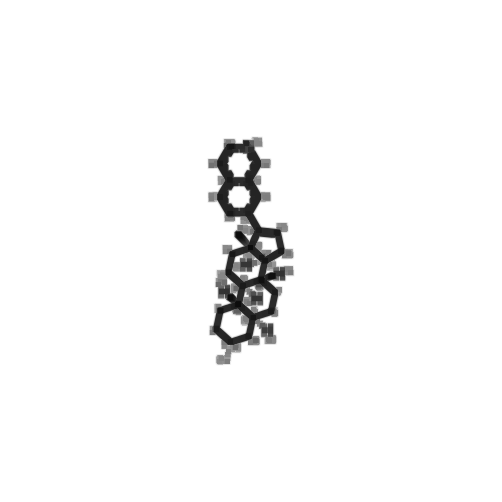 C[C@@H]1CC[C@H]2[C@@H](CC[C@@H]3[C@@H]2CC[C@]2(C)C(c4ccc5ccncc5c4)=CC[C@@H]32)C1